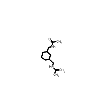 C=C(C)NCC1CCCC(CNC(C)=O)C1